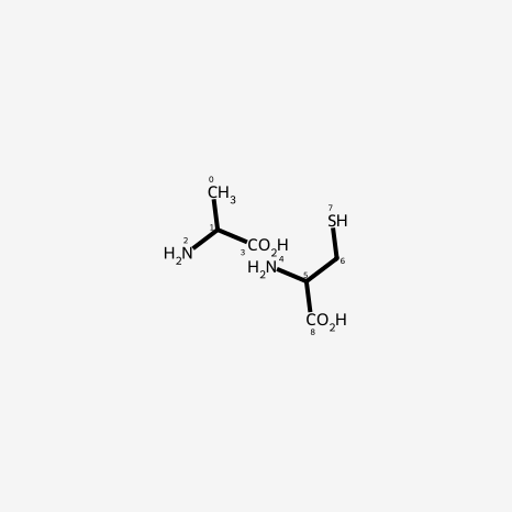 CC(N)C(=O)O.NC(CS)C(=O)O